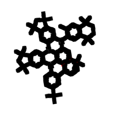 Cc1cc2c(cc1N1c3cc4c(cc3B3c5cc6c(cc5N(c5ccc(C(C)(C)C)cc5-c5ccccc5)c5cc(C(C)(C)C)cc1c53)C(C)(C)CC6(C)C)C(C)(C)CC4(C)C)C(C)(C)CCC2(C)C